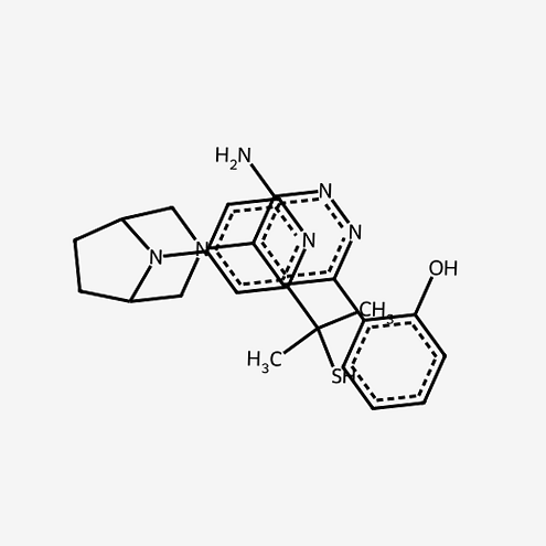 CC(C)(S)c1cc(N2C3CCC2CN(c2cc(-c4ccccc4O)nnc2N)C3)ccn1